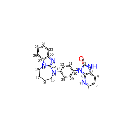 O=c1[nH]c2cccnc2n1-c1ccc(N2CCCCn3c2nc2ccccc23)cc1